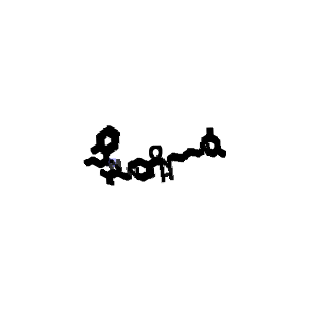 CCC/C(=N\C(CN1CCC(C(=O)NCCCCN2CC(C)CC(C)C2)CC1)=C(C)C)c1ccccc1C